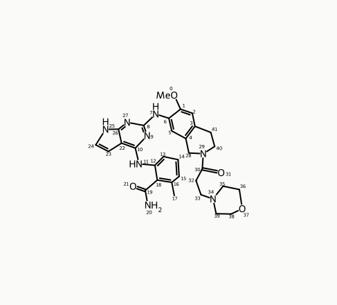 COc1cc2c(cc1Nc1nc(Nc3cccc(C)c3C(N)=O)c3cc[nH]c3n1)CN(C(=O)CCN1CCOCC1)CC2